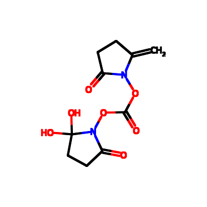 C=C1CCC(=O)N1OC(=O)ON1C(=O)CCC1(O)O